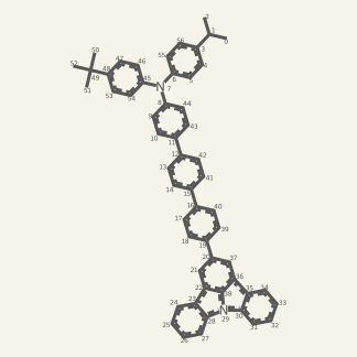 CC(C)c1ccc(N(c2ccc(-c3ccc(-c4ccc(-c5cc6c7ccccc7n7c8ccccc8c(c5)c67)cc4)cc3)cc2)c2ccc(C(C)(C)C)cc2)cc1